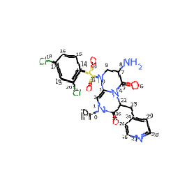 CC(C)N1C=C2N(C(=O)C(N)CN2S(=O)(=O)c2ccc(Cl)cc2Cl)C(Cc2ccncc2)C1=O